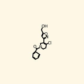 O=C(c1ccccc1)N1CCC(Cl)=C(c2cc(CO)on2)C1